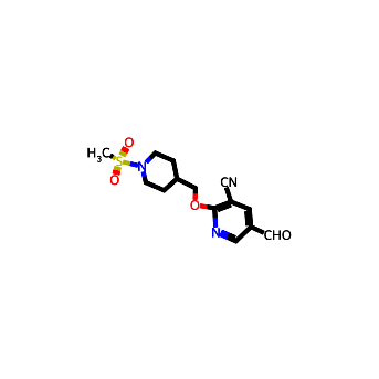 CS(=O)(=O)N1CCC(COc2ncc(C=O)cc2C#N)CC1